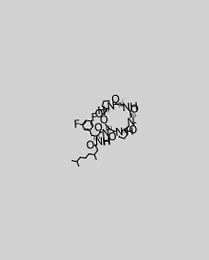 CC(C)CCCC(C)CC(=O)N[C@@H](Cc1cc(F)cc(F)c1)C(=O)N[C@H]1COC(=O)[C@@H]2CCCN2C(=O)[C@H](C)NC(=O)[C@H](C)N(C)C(=O)[C@@H]2CCCN2C1=O